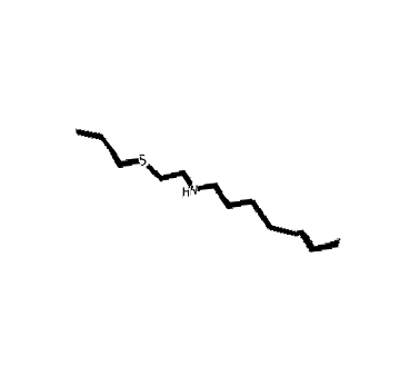 CCCCCCCNCCSCCC